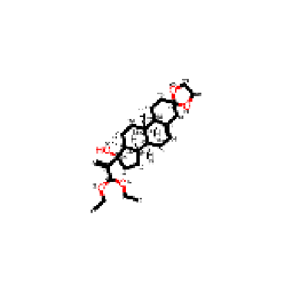 C=C(C(OCC)OCC)[C@@]1(O)CC[C@H]2[C@@H]3CC=C4CC5(CC[C@@H]4[C@H]3CC[C@@]21C)OCCO5